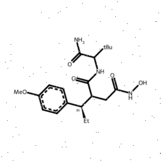 CC[C@@H](c1ccc(OC)cc1)C(CC(=O)NO)C(=O)NC(C(N)=O)C(C)(C)C